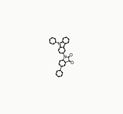 O=C1C(=O)N(c2ccc3c(c2)c2ccccc2n3-c2ccccc2)c2ccc(-c3ccccc3)cc21